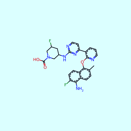 Cc1ccc2c(N)c(F)ccc2c1Oc1ncccc1-c1ccnc(NC2CC(F)CN(C(=O)O)C2)n1